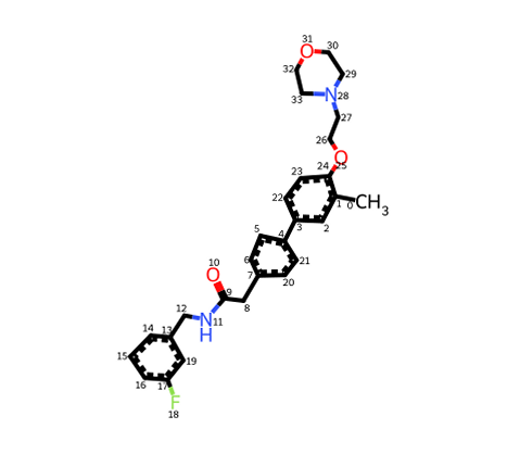 Cc1cc(-c2ccc(CC(=O)NCc3cccc(F)c3)cc2)ccc1OCCN1CCOCC1